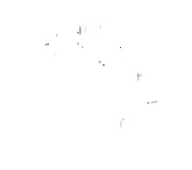 O=C(c1noc(-c2cc(F)c(F)c(O)c2F)n1)N1CCO[C@@H]2CCC[C@@H]21